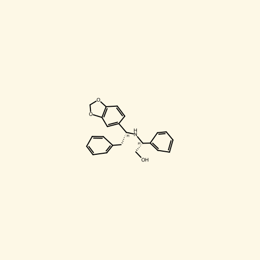 OC[C@H](N[C@H](Cc1ccccc1)c1ccc2c(c1)OCO2)c1ccccc1